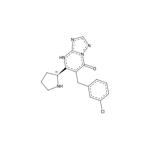 O=c1c(Cc2cccc(Cl)c2)c([C@@H]2CCCN2)[nH]c2ncnn12